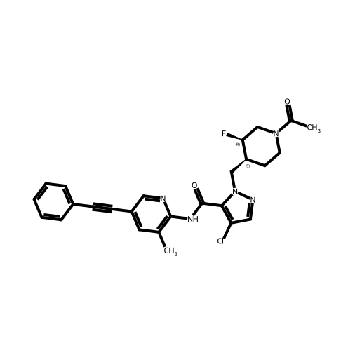 CC(=O)N1CC[C@@H](Cn2ncc(Cl)c2C(=O)Nc2ncc(C#Cc3ccccc3)cc2C)[C@@H](F)C1